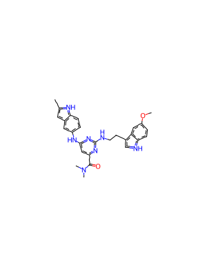 COc1ccc2[nH]cc(CCNc3nc(Nc4ccc5[nH]c(C)cc5c4)cc(C(=O)N(C)C)n3)c2c1